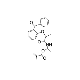 C=C(C)C(=O)OC(C)NC(=O)C(C)Oc1ccccc1C(=O)c1ccccc1